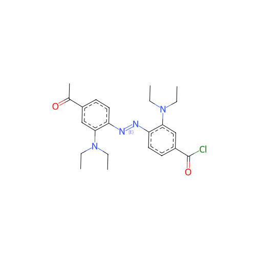 CCN(CC)c1cc(C(C)=O)ccc1/N=N/c1ccc(C(=O)Cl)cc1N(CC)CC